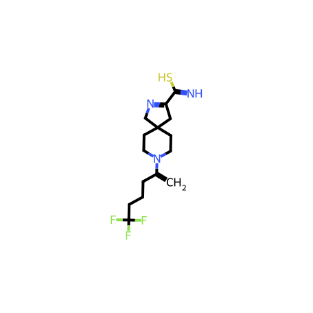 C=C(CCCC(F)(F)F)N1CCC2(CC1)CN=C(C(=N)S)C2